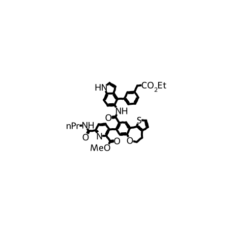 CCCNC(=O)c1ccc(-c2cc3c(cc2C(=O)Nc2ccc4[nH]ccc4c2-c2cccc(CC(=O)OCC)c2)-c2sccc2CCO3)c(C(=O)OC)n1